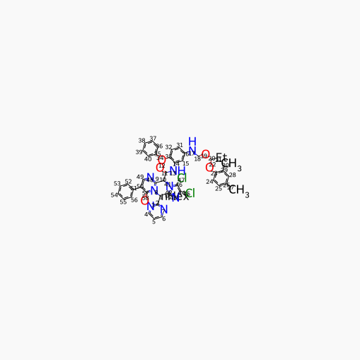 CCCCCCC(c1ncccn1)n1c(C(C(=O)Nc2cc(NCOC(CC)Oc3ccc(C)cc3C)ccc2Oc2ccccc2)n2cnc(Cl)c2Cl)ncc(-c2ccccc2)c1=O